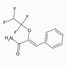 NC(=O)C(=Cc1ccccc1)OC(F)(F)C(F)F